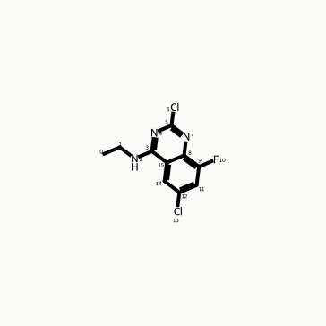 CCNc1nc(Cl)nc2c(F)cc(Cl)cc12